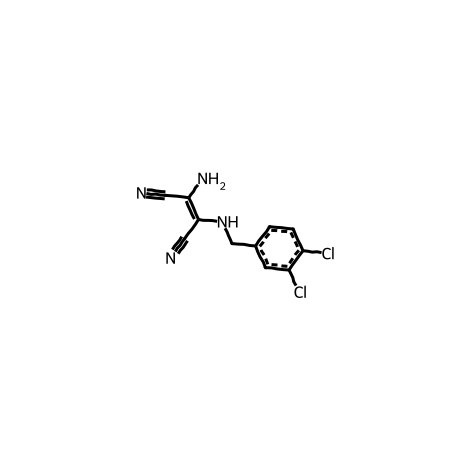 N#CC(N)=C(C#N)NCc1ccc(Cl)c(Cl)c1